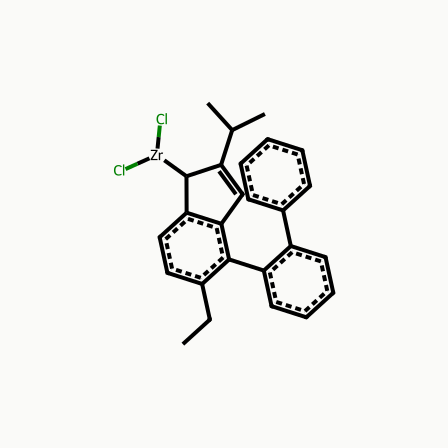 CCc1ccc2c(c1-c1ccccc1-c1ccccc1)C=C(C(C)C)[CH]2[Zr]([Cl])[Cl]